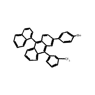 CC(C)(C)c1ccc(-c2ccc3c(-c4cccc5ccccc45)c4ccccc4c(-c4cccc(C(F)(F)F)c4)c3c2)cc1